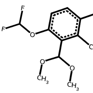 COC(OC)c1c(OC(F)F)ccc(F)c1Cl